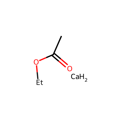 CCOC(C)=O.[CaH2]